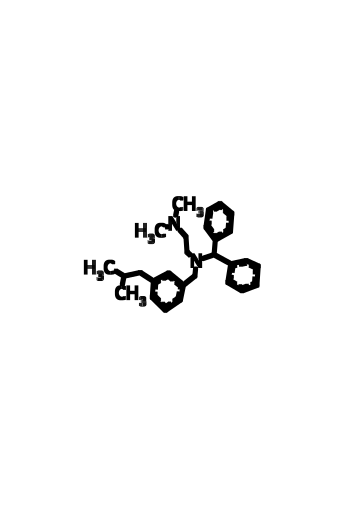 CC(C)Cc1cccc(CN(CCN(C)C)C(c2ccccc2)c2ccccc2)c1